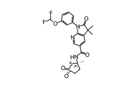 CC1(C)C(=O)N(c2cccc(OC(F)F)c2)c2ncc(C(=O)N[C@@]3(C)CCS(=O)(=O)S3)cc21